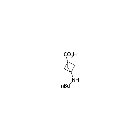 CCCCNC12CC(C(=O)O)(C1)C2